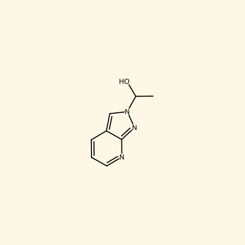 CC(O)n1cc2cccnc2n1